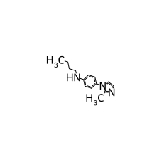 CCCCNc1ccc(-n2ccnc2C)cc1